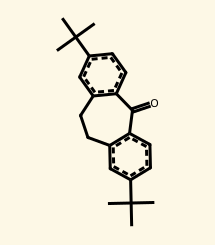 CC(C)(C)c1ccc2c(c1)CCc1cc(C(C)(C)C)ccc1C2=O